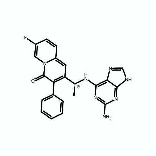 C[C@H](Nc1nc(N)nc2[nH]cnc12)c1cc2ccc(F)cn2c(=O)c1-c1ccccc1